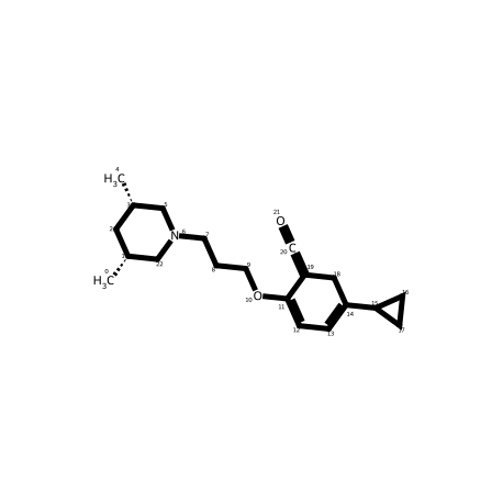 C[C@@H]1C[C@H](C)CN(CCCOC2=CC=C(C3CC3)CC2=C=O)C1